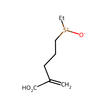 C=C(CCC[S+]([O-])CC)C(=O)O